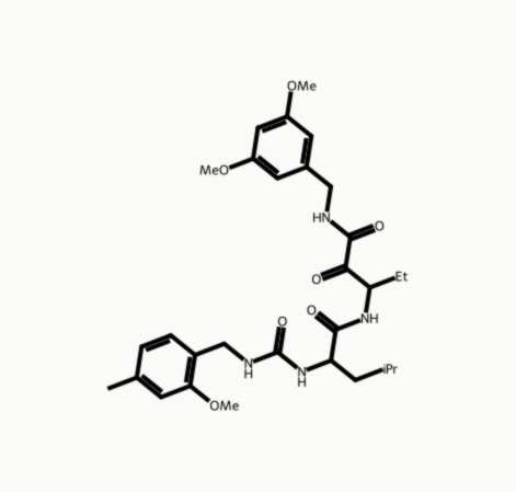 CCC(NC(=O)C(CC(C)C)NC(=O)NCc1ccc(C)cc1OC)C(=O)C(=O)NCc1cc(OC)cc(OC)c1